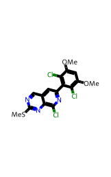 COc1cc(OC)c(Cl)c(-c2cc3cnc(SC)nc3c(Cl)n2)c1Cl